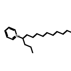 CCCCCCCCCCC(CCC)[n+]1ccccc1